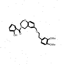 COc1ccc(CCOCc2ccc3c(c2)CN(C(=O)c2ccccc2O)CCO3)cc1OC